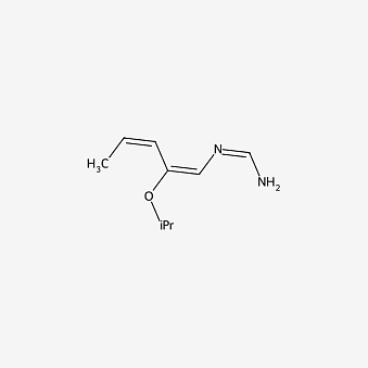 C\C=C/C(=C\N=C/N)OC(C)C